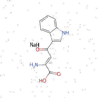 N/C(=C\C(=O)c1c[nH]c2ccccc12)C(=O)O.[NaH]